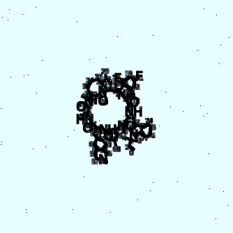 C=CC(C)(C)n1cc(C[C@@H]2NC(=O)[C@H](Cc3cc(F)cc(F)c3)NC(=O)[C@H](CC(C)C)N3CC/C=C\C[C@@H](C3=O)N(C)C(=O)[C@H](C)NC(=O)[C@H](Cc3ccc4cnccc4c3)NC(=O)[C@H](CC(C)C)N(C)C2=O)c2ccccc21